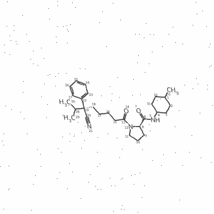 CC1CCC(NC(=O)[C@H]2CCCN2C(=O)CCCC[C@@](C#N)(c2ccccc2)C(C)C)CC1